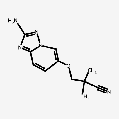 CC(C)(C#N)COc1ccc2nc(N)nn2c1